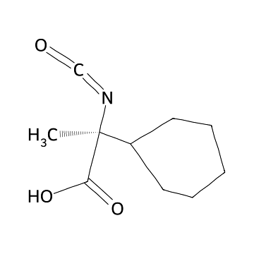 C[C@@](N=C=O)(C(=O)O)C1CCCCC1